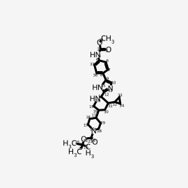 COC(=O)Nc1ccc(-c2cnc(C3NCC(C4CCN(C(=O)OC(C)(C)C)CC4)CC3C3CC3)[nH]2)cc1